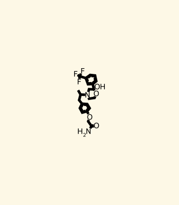 CC(Cc1ccc(OCC(N)=O)cc1)N1CCOC(O)(c2cccc(C(F)(F)F)c2)C1